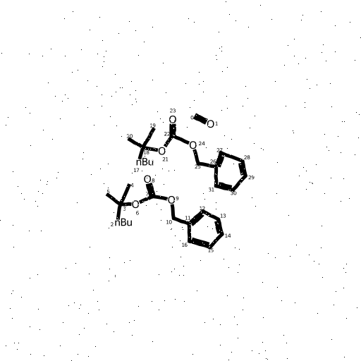 C=O.CCCCC(C)(C)OC(=O)OCc1ccccc1.CCCCC(C)(C)OC(=O)OCc1ccccc1